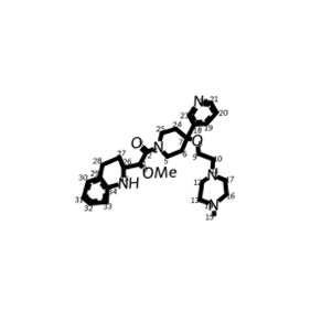 COC(C(=O)N1CCC(OCCN2CCN(C)CC2)(c2cccnc2)CC1)C1CCc2ccccc2N1